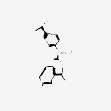 CC(NC(=O)N(S)c1ccc(C(N)=O)cc1)c1cccc(F)c1